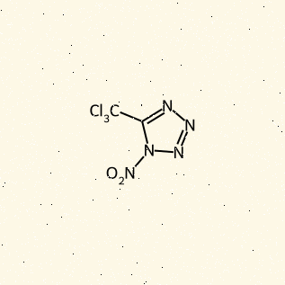 O=[N+]([O-])n1nnnc1C(Cl)(Cl)Cl